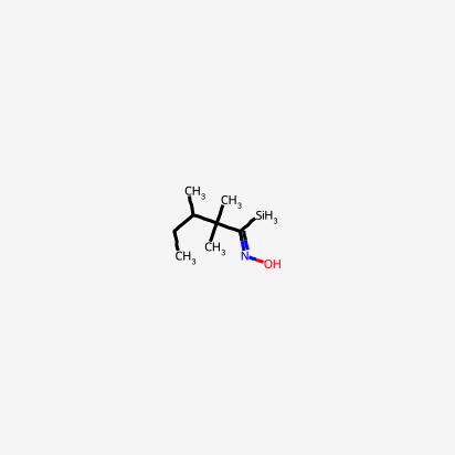 CCC(C)C(C)(C)C([SiH3])=NO